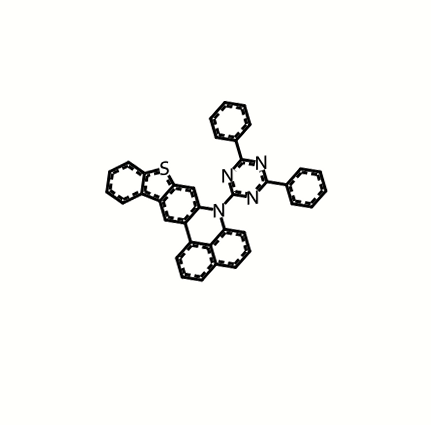 c1ccc(-c2nc(-c3ccccc3)nc(N3c4cc5sc6ccccc6c5cc4-c4cccc5cccc3c45)n2)cc1